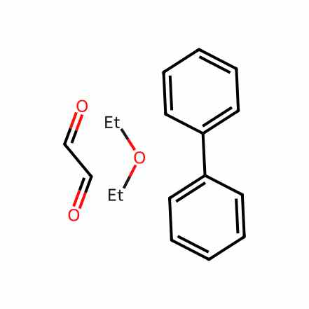 CCOCC.O=CC=O.c1ccc(-c2ccccc2)cc1